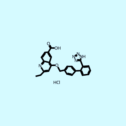 CCc1cc(OCc2ccc(-c3ccccc3-c3nnn[nH]3)cc2)c2cc(C(=O)O)ccc2n1.Cl